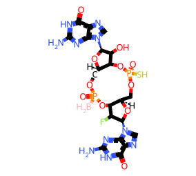 BP1(=O)OC[C@H]2O[C@@H](n3cnc4c(=O)[nH]c(N)nc43)C(O)C2OP(=O)(S)OC[C@H]2O[C@@H](n3cnc4c(=O)[nH]c(N)nc43)C(F)C2O1